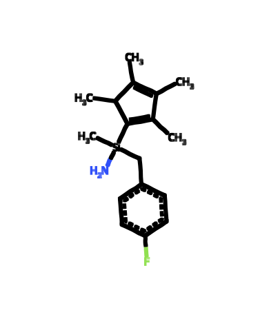 CC1=C(C)C(C)C([Si](C)(N)Cc2ccc(F)cc2)=C1C